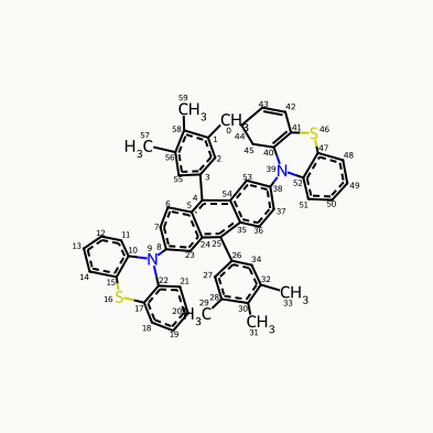 Cc1cc(-c2c3ccc(N4c5ccccc5Sc5ccccc54)cc3c(-c3cc(C)c(C)c(C)c3)c3ccc(N4C5=C(C=CCC5)Sc5ccccc54)cc23)cc(C)c1C